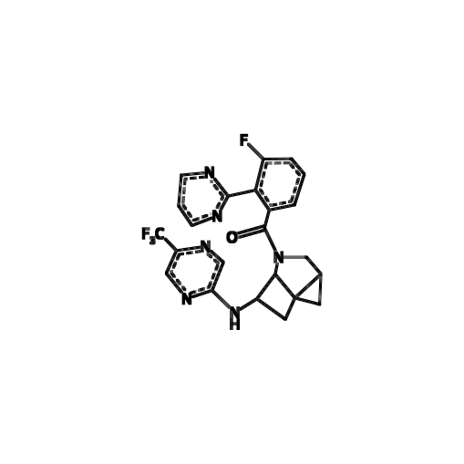 O=C(c1cccc(F)c1-c1ncccn1)N1CC2CC23CC(Nc2cnc(C(F)(F)F)cn2)C13